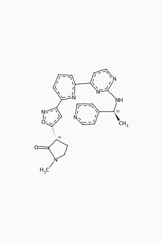 C[C@H](Nc1nccc(-c2cccc(-c3cc([C@@H]4CCN(C)C4=O)on3)n2)n1)c1ccncc1